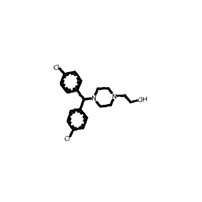 OCCN1CCN(C(c2ccc(Cl)cc2)c2ccc(Cl)cc2)CC1